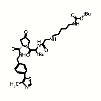 Cc1ncsc1-c1ccc(CNC(=O)[C@@H]2CC(=O)CN2C(=O)C(NC(=O)CNCCCCCNC(=O)OC(C)(C)C)C(C)(C)C)cc1